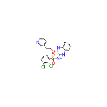 O=S(=O)(Nc1nc2ccccc2nc1OCCc1cccnc1)c1cccc(Cl)c1Cl